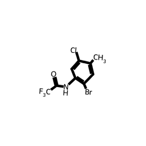 Cc1cc(Br)c(NC(=O)C(F)(F)F)cc1Cl